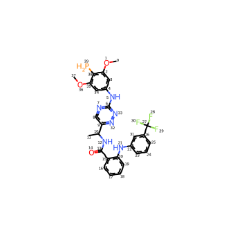 COc1cc(Nc2ncc(C(C)NC(=O)c3ccccc3Nc3cccc(C(F)(F)F)c3)nn2)cc(OC)c1P